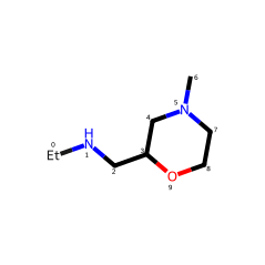 CCNCC1CN(C)CCO1